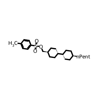 CCCCC[C@H]1CC[C@H]([C@H]2CC[C@H](COS(=O)(=O)c3ccc(C)cc3)CC2)CC1